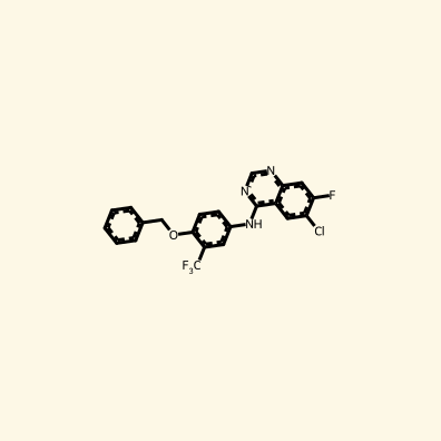 Fc1cc2ncnc(Nc3ccc(OCc4ccccc4)c(C(F)(F)F)c3)c2cc1Cl